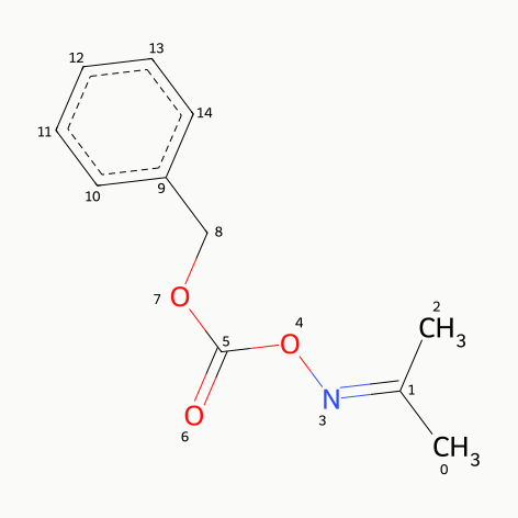 CC(C)=NOC(=O)OCc1ccccc1